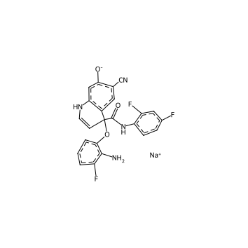 N#Cc1cc2c(cc1[O-])NC=CC2(Oc1cccc(F)c1N)C(=O)Nc1ccc(F)cc1F.[Na+]